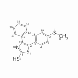 CSc1ccc(-c2sc(S)nc2-c2ccccc2)cc1